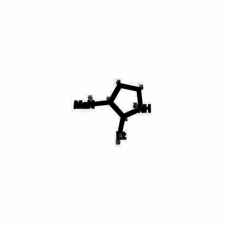 CCC1NCCC1NC